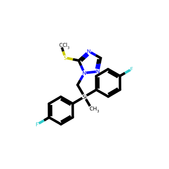 C[Si](Cn1ncnc1SC(Cl)(Cl)Cl)(c1ccc(F)cc1)c1ccc(F)cc1